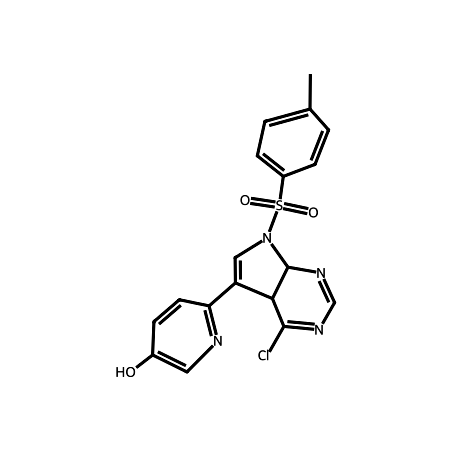 Cc1ccc(S(=O)(=O)N2C=C(c3ccc(O)cn3)C3C(Cl)=NC=NC32)cc1